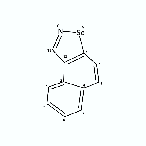 c1ccc2c(c1)ccc1[se]ncc12